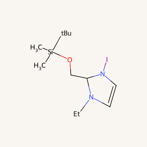 CCN1C=CN(I)C1CO[Si](C)(C)C(C)(C)C